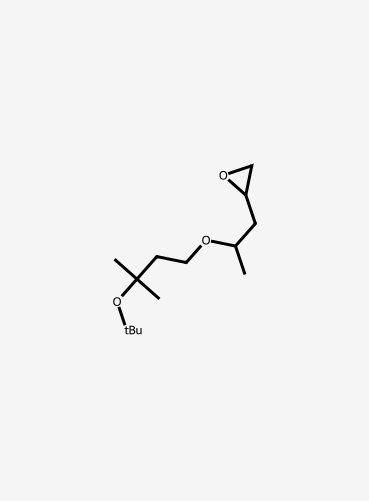 CC(CC1CO1)OCCC(C)(C)OC(C)(C)C